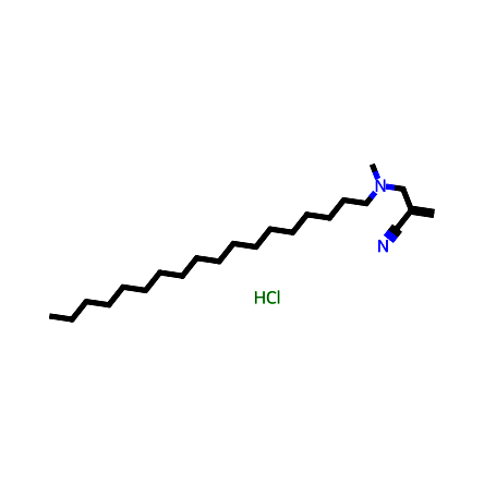 C=C(C#N)CN(C)CCCCCCCCCCCCCCCCCC.Cl